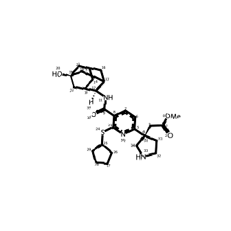 COC(=O)C[C@@]1(c2ccc(C(=O)N[C@H]3C4CC5CC3C[C@@](O)(C5)C4)c(SC3CCCC3)n2)CCNC1